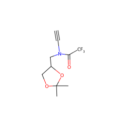 C#CN(CC1COC(C)(C)O1)C(=O)C(F)(F)F